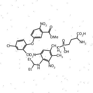 CCC(CC)Nc1c([N+](=O)[O-])cc(C)c(C)c1[N+](=O)[O-].COC(=O)c1cc(Oc2ccc(Cl)cc2Cl)ccc1[N+](=O)[O-].CP(=O)(O)CCC(N)C(=O)O